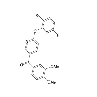 COc1ccc(C(=O)c2ccc(Oc3cc(F)ccc3Br)nc2)cc1OC